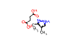 Cc1c[nH]nc1C.O=C(O)CCC(=O)O